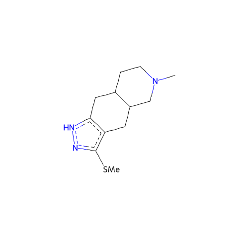 CSc1n[nH]c2c1CC1CN(C)CCC1C2